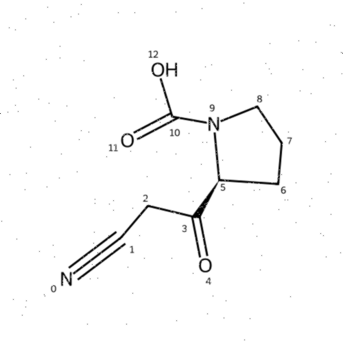 N#CCC(=O)[C@@H]1CCCN1C(=O)O